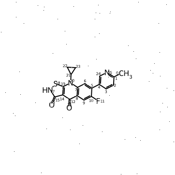 Cc1ccc(-c2cc3c(cc2F)c(=O)c2c(=O)[nH]sc2n3C2CC2)cn1